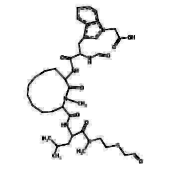 CC(C)CC(NC(=O)C1CCCCCCCCC(NC(=O)C(Cc2cn(CC(=O)O)c3ccccc23)NC=O)C(=O)N1C)C(=O)N(C)CCSCC=O